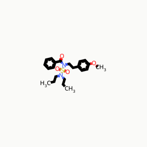 CCCN(CCC)S(=O)(=O)N(CCc1ccc(OC)cc1)C(=O)c1ccccc1